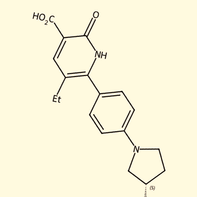 CCc1cc(C(=O)O)c(=O)[nH]c1-c1ccc(N2CC[C@H](O)C2)cc1